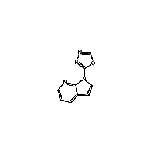 c1cnc2c(c1)ccn2-c1nnco1